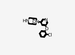 Clc1ccccc1Oc1cncc(N2CC3CNCC(C2)O3)c1